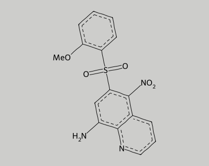 COc1ccccc1S(=O)(=O)c1cc(N)c2ncccc2c1[N+](=O)[O-]